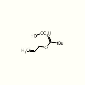 C=CCOC(=O)C(C)(C)C.O=C(O)O